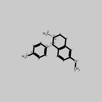 COc1ccc2c(c1)CC[C@@H](C)[C@H]2c1ccc(C)cc1